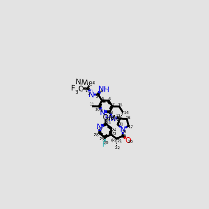 CN/C(=N\C(=N)c1cc2c(nc1C)N[C@@]1(CC2)CCN(C(=O)[C@H](C)c2cc(OC)ncc2F)C1)C(F)(F)F